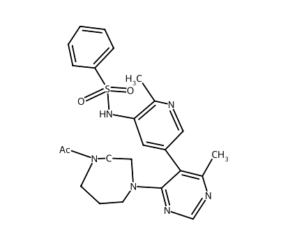 CC(=O)N1CCCN(c2ncnc(C)c2-c2cnc(C)c(NS(=O)(=O)c3ccccc3)c2)CC1